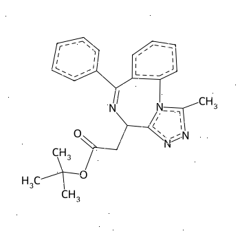 Cc1nnc2n1-c1ccccc1C(c1ccccc1)=NC2CC(=O)OC(C)(C)C